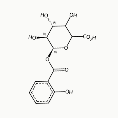 O=C(O[C@@H]1OC(C(=O)O)C(O)[C@@H](O)[C@@H]1O)c1ccccc1O